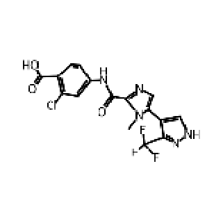 Cn1c(-c2c[nH]nc2C(F)(F)F)cnc1C(=O)Nc1ccc(C(=O)O)c(Cl)c1